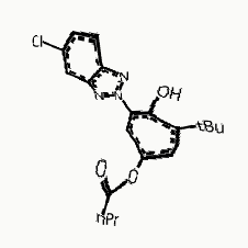 CCCC(=O)Oc1cc(-n2nc3ccc(Cl)cc3n2)c(O)c(C(C)(C)C)c1